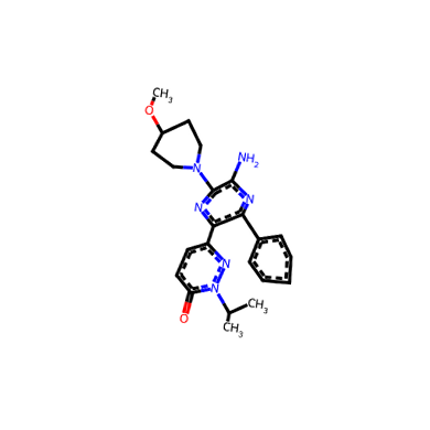 COC1CCN(c2nc(-c3ccc(=O)n(C(C)C)n3)c(-c3ccccc3)nc2N)CC1